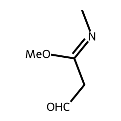 C/N=C(/CC=O)OC